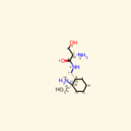 N[C@@H](CO)C(=O)NC[C@@H]1CCCC[C@]1(N)C(=O)O